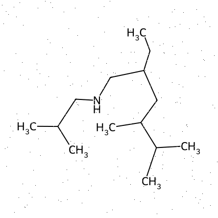 CCC(CNCC(C)C)CC(C)C(C)C